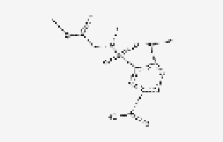 CNc1ccc(C(=O)O)cc1S(=O)(=O)N(C)CC(=O)OC